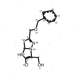 OCC1=C(Cl)NC2SC(COCc3ccccc3)=NN12